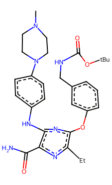 CCc1nc(C(N)=O)c(Nc2ccc(N3CCN(C)CC3)cc2)nc1Oc1cccc(CNC(=O)OC(C)(C)C)c1